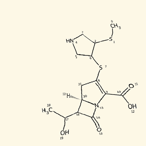 CSC1CNCC1SC1=C(C(=O)O)N2C(=O)C(C(C)O)[C@H]2C1